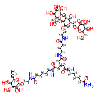 C[C@@H]1O[C@@H](OCCNC(=O)CCCCCNC(=O)CN(CC(=O)NCCCCCC(N)=O)CC(=O)NCCCC(=O)NCCO[C@H]2O[C@H](CO[C@H]3O[C@H](CO)[C@@H](O)[C@H](O)[C@@H]3O)[C@@H](O)[C@H](O[C@H]3O[C@H](CO)[C@@H](O)[C@H](O)[C@@H]3O)[C@@H]2O)[C@@H](O)[C@H](O)[C@@H]1O